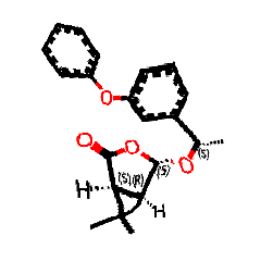 C[C@H](O[C@H]1OC(=O)[C@H]2[C@@H]1C2(C)C)c1cccc(Oc2ccccc2)c1